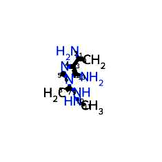 C=C(N)c1ncn(C(=C)NNC)c1N